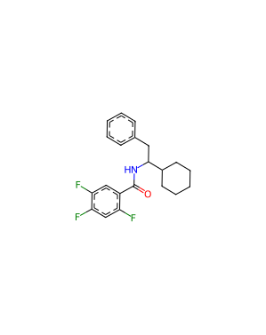 O=C(NC(Cc1ccccc1)C1CCCCC1)c1cc(F)c(F)cc1F